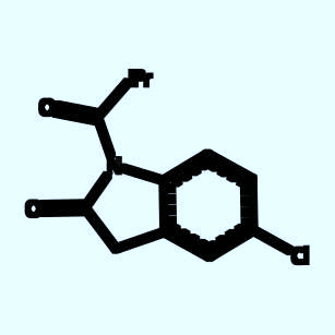 CC(C)C(=O)N1C(=O)Cc2cc(Cl)ccc21